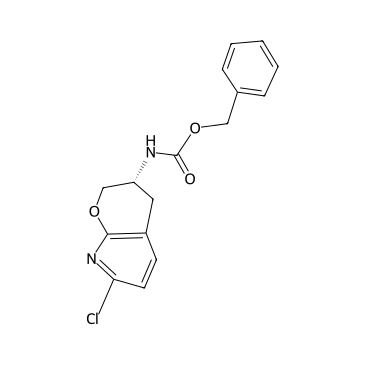 O=C(N[C@H]1COc2nc(Cl)ccc2C1)OCc1ccccc1